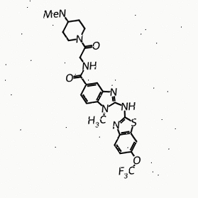 CNC1CCN(C(=O)CNC(=O)c2ccc3c(c2)nc(Nc2nc4ccc(OC(F)(F)F)cc4s2)n3C)CC1